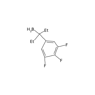 BC(CC)(CC)c1cc(F)c(F)c(F)c1